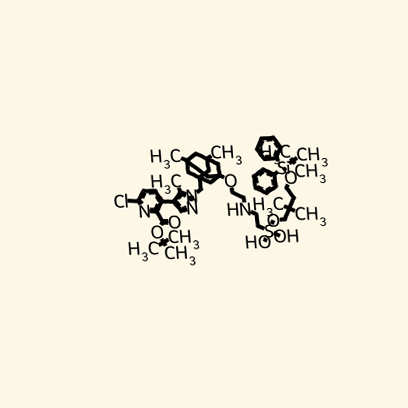 Cc1c(-c2ccc(Cl)nc2C(=O)OC(C)(C)C)cnn1CC12CC3(C)CC(C)(C1)CC(OCCNCCS(O)(O)OCC(C)(C)CCO[Si](c1ccccc1)(c1ccccc1)C(C)(C)C)(C3)C2